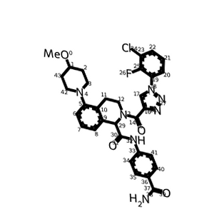 COC1CCN(c2cccc3c2CCN(C(=O)c2cn(-c4cccc(Cl)c4F)nn2)C3C(=O)Nc2ccc(C(N)=O)cc2)CC1